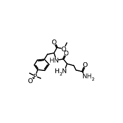 COC(=O)C(Cc1ccc(P(C)(C)=O)cc1)NC(=O)C(N)CCC(N)=O